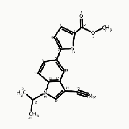 COC(=O)c1ccc(-c2ccc3c(c2)c(C#N)cn3C(C)C)s1